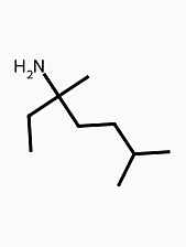 CCC(C)(N)CCC(C)C